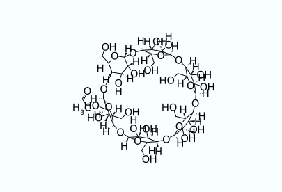 C[C]=O.OC[C@H]1O[C@@H]2O[C@H]3[C@H](O)[C@@H](O)[C@@H](O[C@H]4[C@H](O)[C@@H](O)[C@@H](O[C@H]5[C@H](O)[C@@H](O)[C@@H](O[C@H]6[C@H](O)[C@@H](O)[C@@H](O[C@H]7[C@H](O)[C@@H](O)[C@@H](O[C@H]1[C@H](O)[C@H]2O)O[C@@H]7CO)O[C@@H]6CO)O[C@@H]5CO)O[C@@H]4CO)O[C@@H]3CO